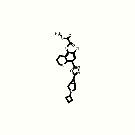 NOC(=O)C(=O)Oc1c(Cl)cc(-c2nnc(C3C4CN(C5CCC5)CC43)o2)c2c1CCCO2